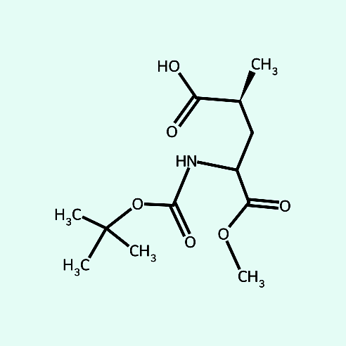 COC(=O)C(C[C@H](C)C(=O)O)NC(=O)OC(C)(C)C